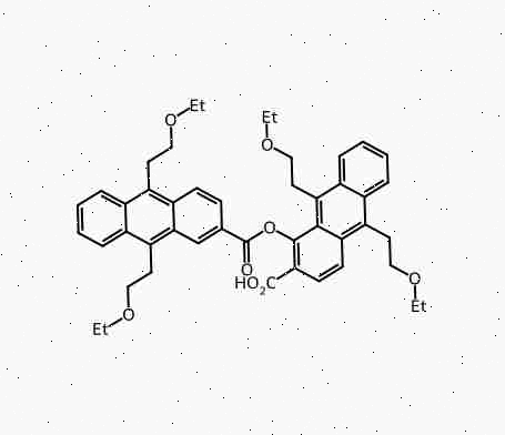 CCOCCc1c2ccccc2c(CCOCC)c2cc(C(=O)Oc3c(C(=O)O)ccc4c(CCOCC)c5ccccc5c(CCOCC)c34)ccc12